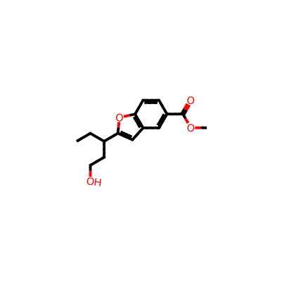 CCC(CCO)c1cc2cc(C(=O)OC)ccc2o1